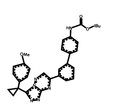 COc1ccc(C2(c3nnc4nc(-c5cccc(-c6ccc(NC(=O)OC(C)(C)C)cc6)c5)cnn34)CC2)cc1